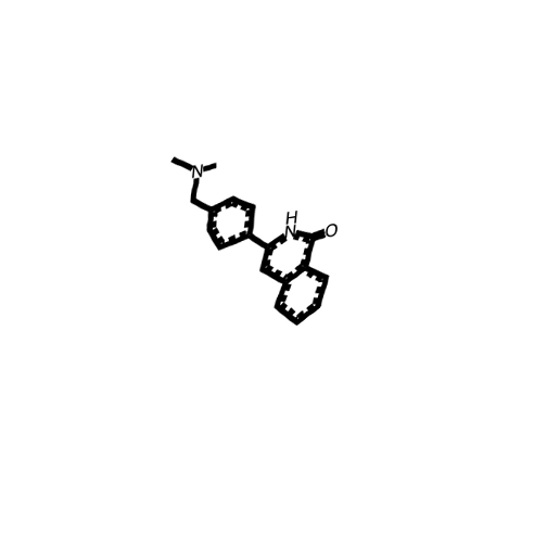 CN(C)Cc1ccc(-c2cc3ccccc3c(=O)[nH]2)cc1